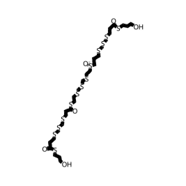 O=C(CCSCSCSCCC[S+]([O-])CCSCSCSCCSC(=O)CCSCSCSCCC(=O)SCCCO)SCCCO